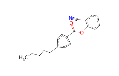 CCCCCc1ccc(C(=O)Oc2ccccc2C#N)cc1